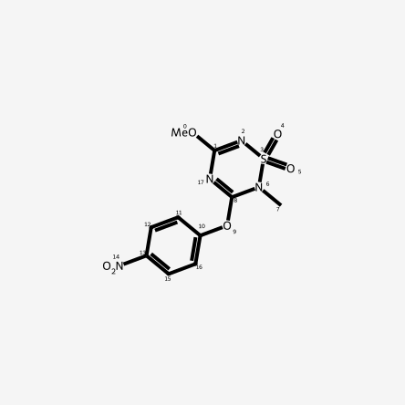 COC1=NS(=O)(=O)N(C)C(Oc2ccc([N+](=O)[O-])cc2)=N1